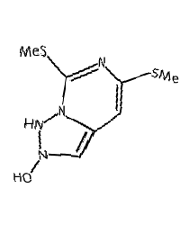 CSC1=CC2=CN(O)NN2C(SC)=N1